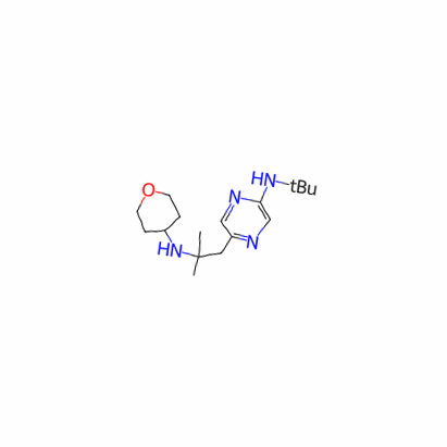 CC(C)(C)Nc1cnc(CC(C)(C)NC2CCOCC2)cn1